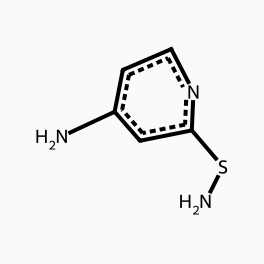 NSc1cc(N)ccn1